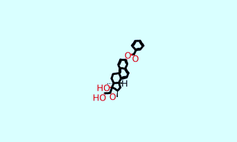 C[C@@H]1C[C@H]2c3ccc4cc(OC(=O)c5ccccc5)ccc4c3CC[C@]2(C)[C@@]1(O)C(=O)CO